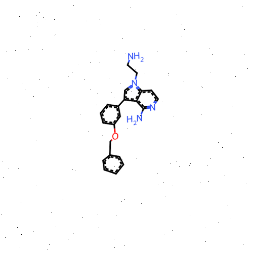 NCCn1cc(-c2cccc(OCc3ccccc3)c2)c2c(N)nccc21